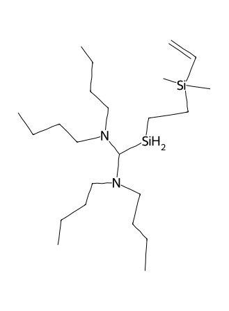 C=C[Si](C)(C)CC[SiH2]C(N(CCCC)CCCC)N(CCCC)CCCC